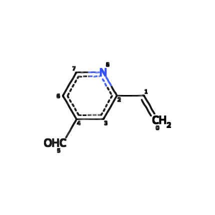 C=Cc1cc(C=O)ccn1